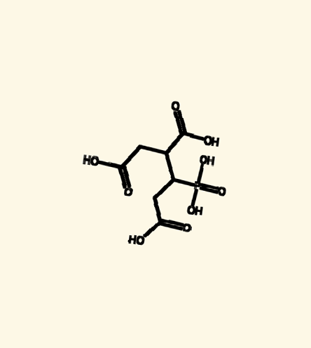 O=C(O)CC(C(=O)O)C(CC(=O)O)P(=O)(O)O